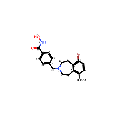 COc1ccc(Br)c2c1CCN(Cc1ccc(C(=O)NO)cc1)CC2